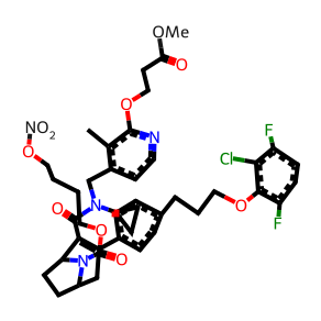 COC(=O)CCOc1nccc(CN(C(=O)C2=C(c3ccc(CCCOc4c(F)ccc(F)c4Cl)cc3)CC3CCC2N3C(=O)OCCCCO[N+](=O)[O-])C2CC2)c1C